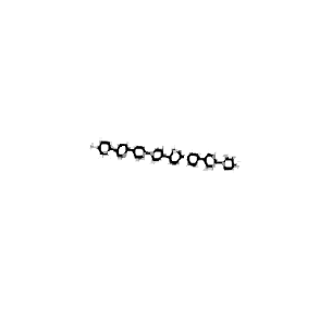 Fc1ccc(-c2ccc(-c3ccc(-c4ccc(-c5ccc(-c6ccc(-c7ccc(-c8ccc(F)cc8)cc7)cc6)cc5)cc4)cc3)cc2)cc1